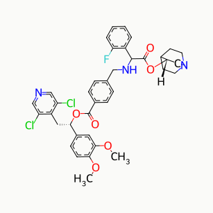 COc1ccc([C@H](Cc2c(Cl)cncc2Cl)OC(=O)c2ccc(CNC(C(=O)O[C@H]3CN4CCC3CC4)c3ccccc3F)cc2)cc1OC